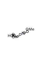 COc1cccc(CO/N=C(\C)c2ccc([C@@H]3CC[C@H](COP(=O)(O)O)C3)cc2)c1